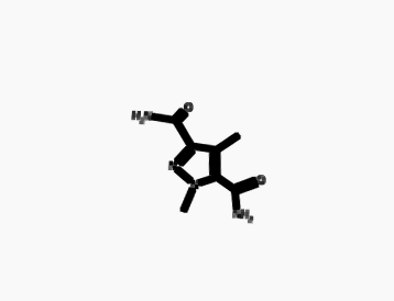 Cc1c(C(N)=O)nn(C)c1C(N)=O